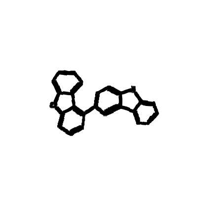 c1ccc2c(c1)oc1cccc(-c3ccc4sc5ccccc5c4c3)c12